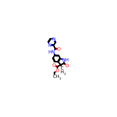 CCOC(=O)C1(C)C(=O)Nc2cc(NC(=O)c3cnccn3)ccc21